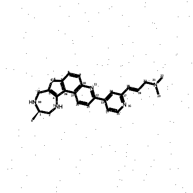 C[C@@H]1CNc2c(sc3ccc4nc(-c5ccnc(/C=C/CN(C)C)c5)ccc4c23)CN1